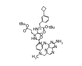 CN(Cc1cnc2nc(N)nc(N)c2n1)c1ccc(C(=O)N[C@@H](CCC(=O)OC(C)(C)C)C(=O)N[C@@H](Cc2cccc(C3CCC3)c2)C(=O)OC(C)(C)C)cc1